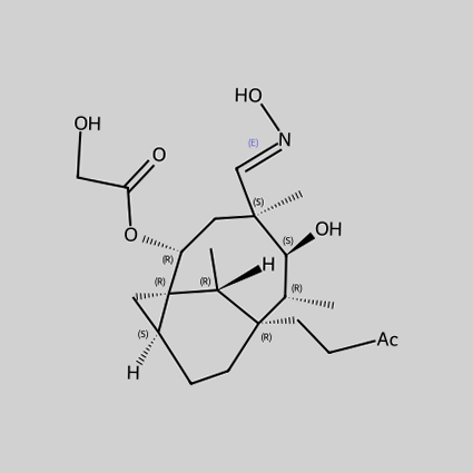 CC(=O)CC[C@]12CC[C@H]3C[C@@]3([C@@H]1C)[C@H](OC(=O)CO)C[C@@](C)(/C=N/O)[C@@H](O)[C@@H]2C